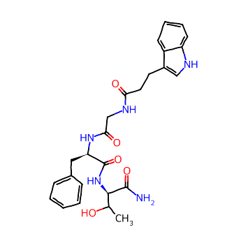 CC(O)[C@@H](NC(=O)[C@@H](Cc1ccccc1)NC(=O)CNC(=O)CCc1c[nH]c2ccccc12)C(N)=O